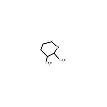 O=C(O)C1CCCOC1C(=O)O